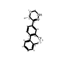 C[C@@H]1OCNN=C1c1ccc(-c2ccccc2F)c(C(F)(F)F)c1